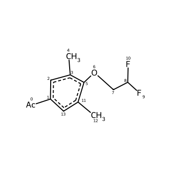 CC(=O)c1cc(C)c(OCC(F)F)c(C)c1